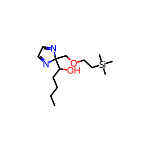 CCCCC(O)C1(COCC[Si](C)(C)C)N=CC=N1